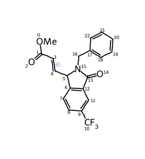 COC(=O)/C=C/C1c2ccc(C(F)(F)F)cc2C(=O)N1Cc1ccccc1